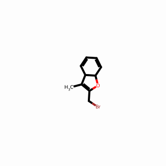 CC1=C(CBr)OC2C=CC=CC12